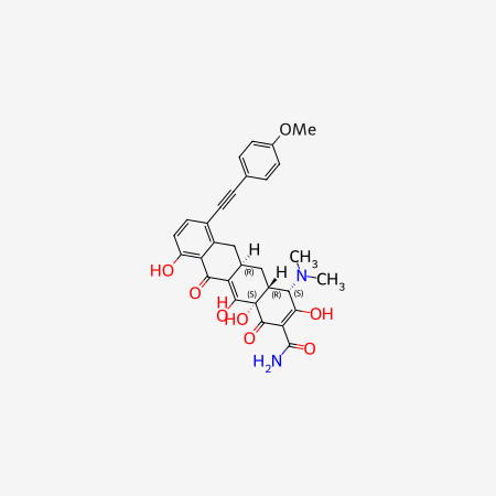 COc1ccc(C#Cc2ccc(O)c3c2C[C@H]2C[C@@H]4[C@H](N(C)C)C(O)=C(C(N)=O)C(=O)[C@@]4(O)C(O)=C2C3=O)cc1